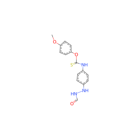 COc1ccc(OC(=S)Nc2ccc(NNC=O)cc2)cc1